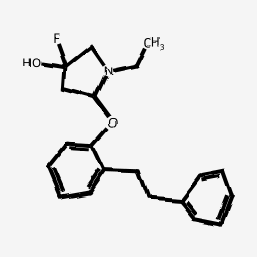 CCN1CC(O)(F)CC1Oc1ccccc1CCc1ccccc1